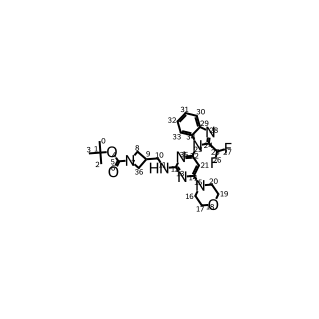 CC(C)(C)OC(=O)N1CC(CNc2nc(N3CCOCC3)cc(-n3c(C(F)F)nc4ccccc43)n2)C1